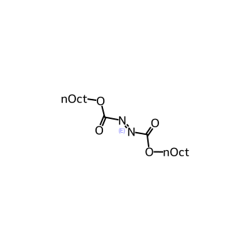 CCCCCCCCOC(=O)/N=N/C(=O)OCCCCCCCC